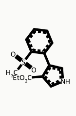 CCOC(=O)c1c[nH]cc1-c1ccccc1S(C)(=O)=O